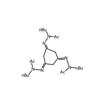 CCCCN(N=C1CC(=NN(CCCC)C(C)=O)CC(=NN(CCCC)C(C)=O)C1)C(C)=O